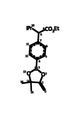 C=C1OB(c2ccc(C(C(=O)OCC)C(C)C)cc2)OC1(C)C